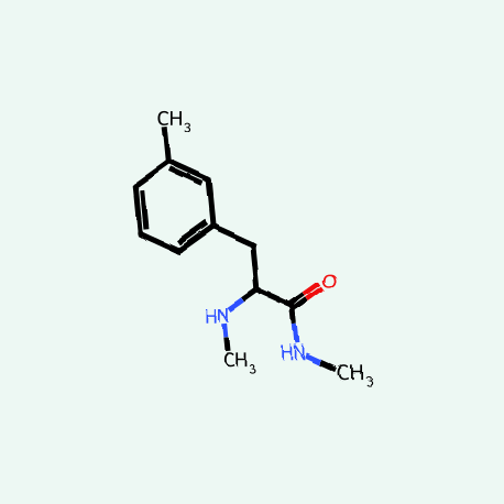 CNC(=O)C(Cc1cccc(C)c1)NC